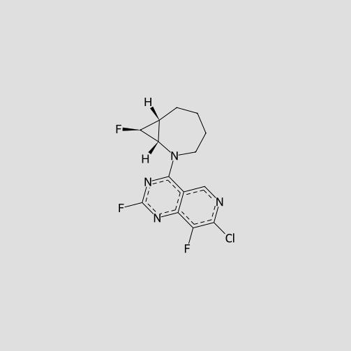 Fc1nc(N2CCCC[C@H]3[C@H](F)[C@H]32)c2cnc(Cl)c(F)c2n1